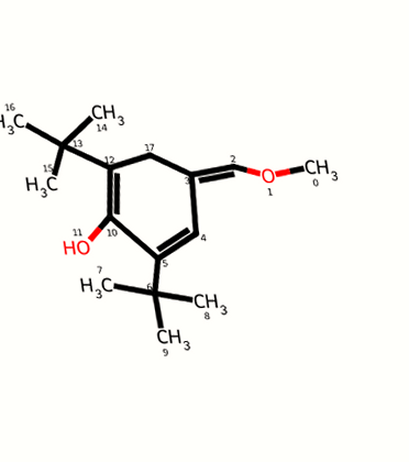 COC=C1C=C(C(C)(C)C)C(O)=C(C(C)(C)C)C1